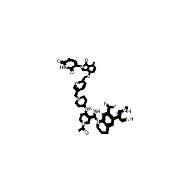 CN/C=C(\C=N)c1cc2c(cc1C(F)F)N(C(N)C1=C(NC3CCN(Cc4ccc(COC5=C6CN(C7CCC(=O)NC7=O)C(=O)C6C(C)C=C5)nc4)CC3)CCN(C(C)=O)C1)CCC2